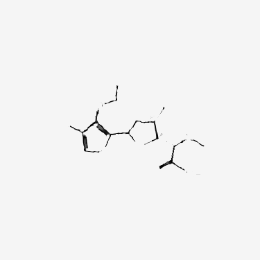 CCOc1c(Cl)csc1C1C[C@@H](C)[C@H](C(NC)C(=O)O)O1